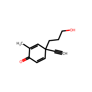 C#CC1(CCCO)C=CC(=O)C(C)=C1